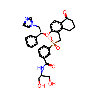 O=C(NC(CO)CO)c1cccc(S(=O)(=O)Cc2c(O[C@H](Cn3ccnc3)c3ccccc3)ccc3c2CCCC3=O)c1